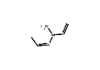 C=CN(N)/N=C\C